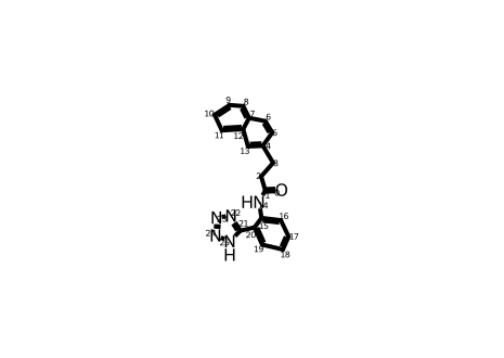 O=C(CCc1ccc2ccccc2c1)Nc1ccccc1-c1nnn[nH]1